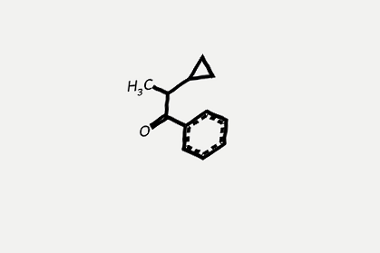 CC(C(=O)c1ccccc1)C1CC1